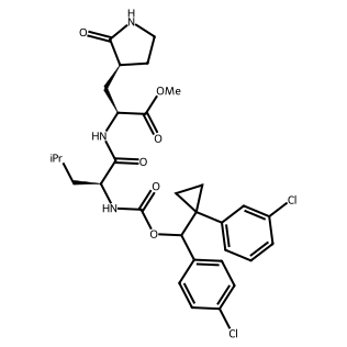 COC(=O)[C@H](C[C@@H]1CCNC1=O)NC(=O)[C@H](CC(C)C)NC(=O)OC(c1ccc(Cl)cc1)C1(c2cccc(Cl)c2)CC1